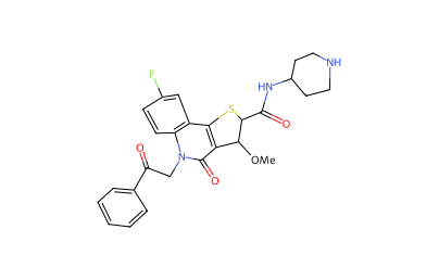 COC1c2c(c3cc(F)ccc3n(CC(=O)c3ccccc3)c2=O)SC1C(=O)NC1CCNCC1